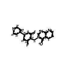 O=c1c2cccnc2ncn1Cc1c(F)cc(-c2ccncc2)cc1F